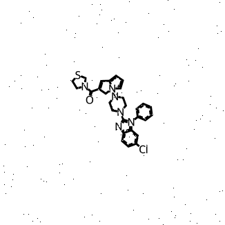 O=C(C1=CC2=CC=C[N@@+]2(N2CCN(c3nc4ccc(Cl)cc4n3-c3ccccc3)CC2)C1)N1CCSC1